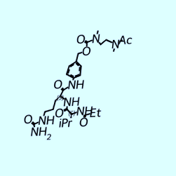 CCC(=O)N[C@H](C(=O)N[C@@H](CCCNC(N)=O)C(=O)Nc1ccc(COC(=O)N(C)CCN(C)C(C)=O)cc1)C(C)C